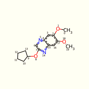 COc1cc2ncc(OC3CCCC3)nc2cc1OC